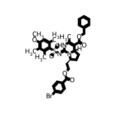 COc1cc(C)c(S(=O)(=O)/N=C2\NC(C)=C(C(=O)OCc3ccccc3)[C@@H]3CC[C@@H](CCOC(=O)c4ccc(Br)cc4)N23)c(C)c1C